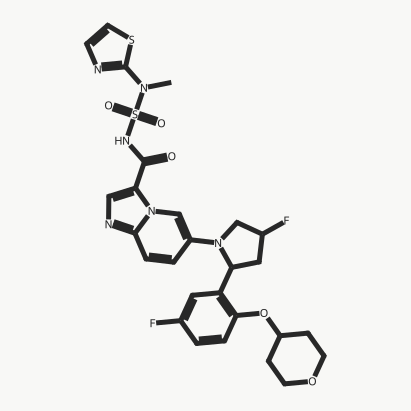 CN(c1nccs1)S(=O)(=O)NC(=O)c1cnc2ccc(N3CC(F)CC3c3cc(F)ccc3OC3CCOCC3)cn12